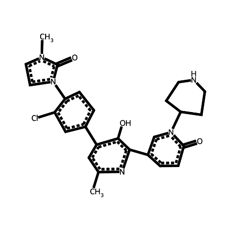 Cc1cc(-c2ccc(-n3ccn(C)c3=O)c(Cl)c2)c(O)c(-c2ccc(=O)n(C3CCNCC3)c2)n1